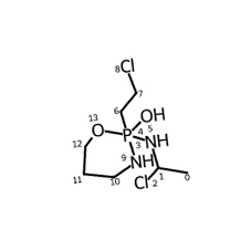 CC(Cl)NP1(O)(CCCl)NCCCO1